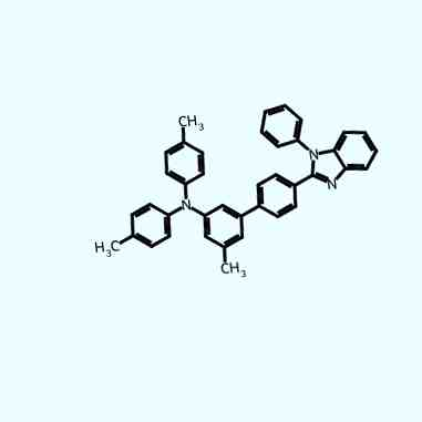 Cc1ccc(N(c2ccc(C)cc2)c2cc(C)cc(-c3ccc(-c4nc5ccccc5n4-c4ccccc4)cc3)c2)cc1